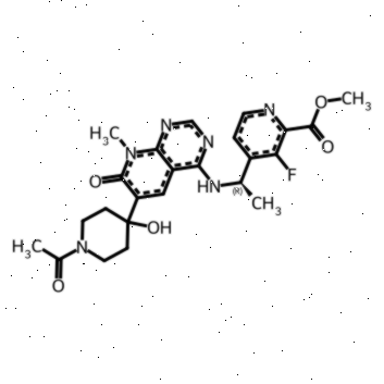 COC(=O)c1nccc([C@@H](C)Nc2ncnc3c2cc(C2(O)CCN(C(C)=O)CC2)c(=O)n3C)c1F